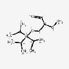 COC(C=O)CO[Si](C(C)C)(C(C)C)C(C)C